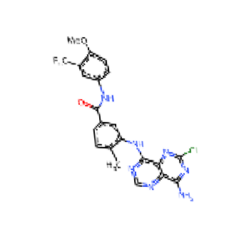 COc1ccc(NC(=O)c2ccc(C)c(Nc3ncnc4c(N)nc(Cl)nc34)c2)cc1C(F)(F)F